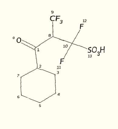 O=C(C1CCCCC1)C(C(F)(F)F)C(F)(F)S(=O)(=O)O